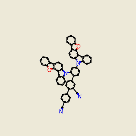 N#Cc1ccc(-c2ccc(-c3ccc(-n4c5ccccc5c5c6oc7ccccc7c6ccc54)cc3-n3c4ccccc4c4c5oc6ccccc6c5ccc43)cc2C#N)cc1